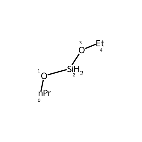 CCCO[SiH2]OCC